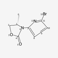 C[C@H]1COC(=O)N1c1cccc(Br)n1